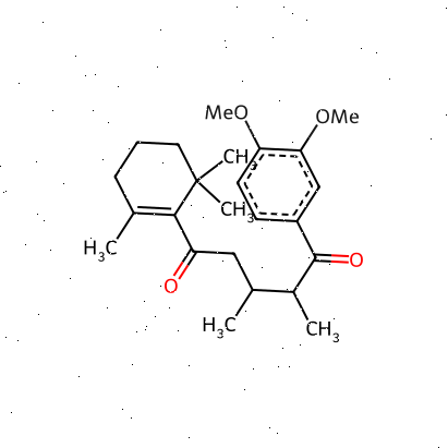 COc1ccc(C(=O)C(C)C(C)CC(=O)C2=C(C)CCCC2(C)C)cc1OC